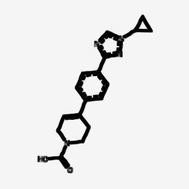 O=C(O)N1CC=C(c2ccc(-c3ncn(C4CC4)n3)cc2)CC1